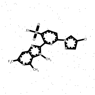 CCS(=O)(=O)c1ccc(-n2cc(Cl)cn2)nc1-c1nc2cc(C(F)(F)F)nc(C)c2n1C